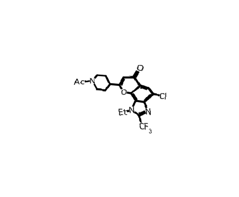 CCn1c(C(F)(F)F)nc2c(Cl)cc3c(=O)cc(C4CCN(C(C)=O)CC4)oc3c21